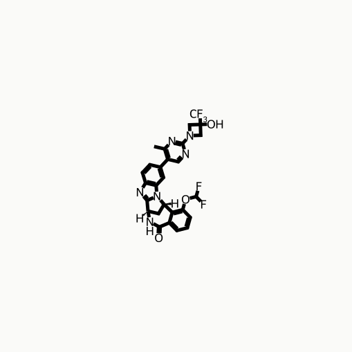 Cc1nc(N2CC(O)(C(F)(F)F)C2)ncc1-c1ccc2nc3n(c2c1)[C@H]1C[C@H]3NC(=O)c2cccc(OC(F)F)c21